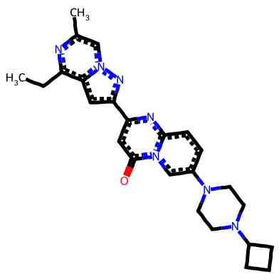 CCc1nc(C)cn2nc(-c3cc(=O)n4cc(N5CCN(C6CCC6)CC5)ccc4n3)cc12